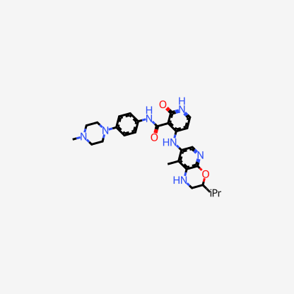 Cc1c(Nc2cc[nH]c(=O)c2C(=O)Nc2ccc(N3CCN(C)CC3)cc2)cnc2c1NCC(C(C)C)O2